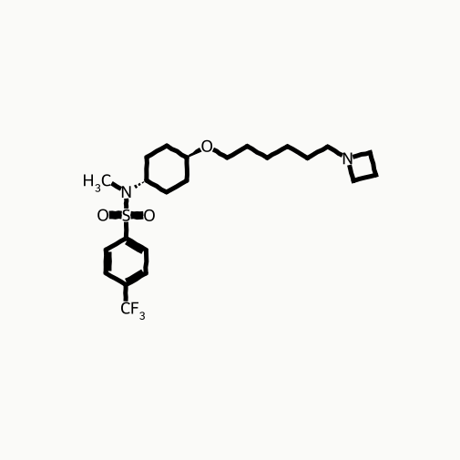 CN([C@H]1CC[C@H](OCCCCCCN2CCC2)CC1)S(=O)(=O)c1ccc(C(F)(F)F)cc1